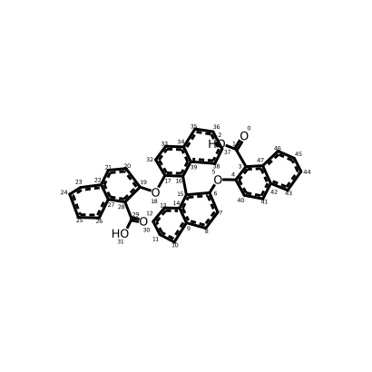 O=C(O)c1c(Oc2ccc3ccccc3c2-c2c(Oc3ccc4ccccc4c3C(=O)O)ccc3ccccc23)ccc2ccccc12